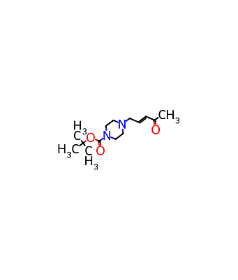 CC(=O)/C=C/CN1CCN(C(=O)OC(C)(C)C)CC1